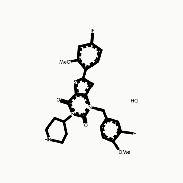 COc1ccc(Cn2c(=O)n(C3CCNCC3)c(=O)c3sc(-c4ccc(F)cc4OC)cc32)cc1F.Cl